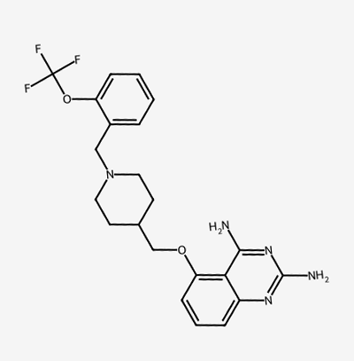 Nc1nc(N)c2c(OCC3CCN(Cc4ccccc4OC(F)(F)F)CC3)cccc2n1